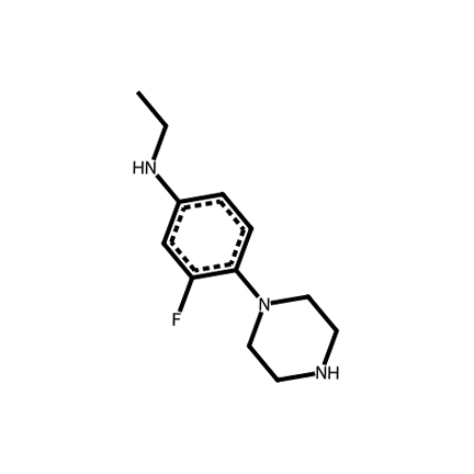 CCNc1ccc(N2CCNCC2)c(F)c1